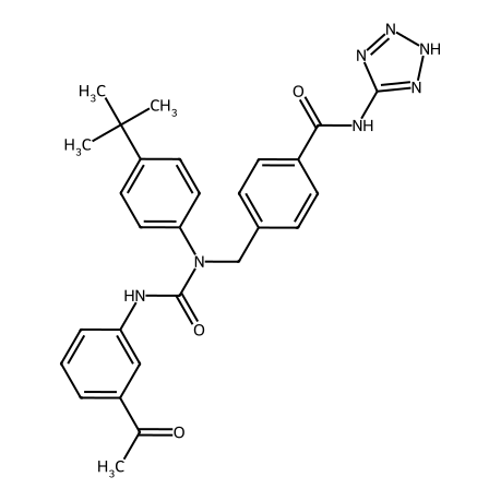 CC(=O)c1cccc(NC(=O)N(Cc2ccc(C(=O)Nc3nn[nH]n3)cc2)c2ccc(C(C)(C)C)cc2)c1